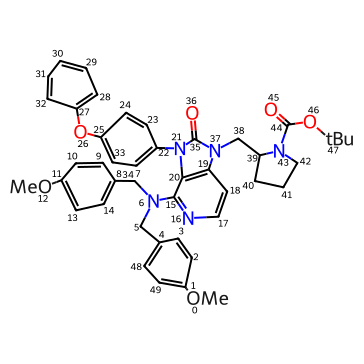 COc1ccc(CN(Cc2ccc(OC)cc2)c2nccc3c2n(-c2ccc(Oc4ccccc4)cc2)c(=O)n3CC2CCCN2C(=O)OC(C)(C)C)cc1